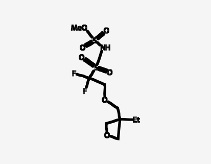 CCC1(COCC(F)(F)S(=O)(=O)NS(=O)(=O)OC)COC1